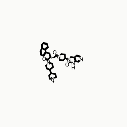 CN1CCC(C2CCN(C(=O)[C@@H](CC(=O)N3CCC(N4Cc5ccncc5NC4=O)CC3)Cc3cccc4ccccc34)CC2)CC1